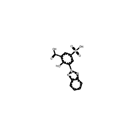 O=C(O)c1cc(S(=O)(=O)O)cc(-n2nc3ccccc3n2)c1O